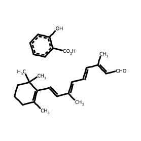 CC(C=CC=C(C)C=CC1=C(C)CCCC1(C)C)=CC=O.O=C(O)c1ccccc1O